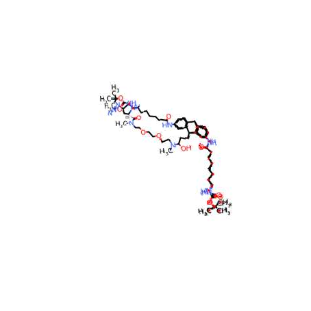 CN(CCOCCOCCN(C)C(O)CCC12c3cc(NC(=O)CCCCCCCNC(=O)OC(C)(C)C)ccc3C(c3ccc(NC(=O)CCCCCCCNC(=O)OC(C)(C)C)cc31)c1ccc(NC(=O)CCCCCCCNC(=O)OC(C)(C)C)cc12)C(=O)[C@@H]1CC(N=[N+]=[N-])CN1